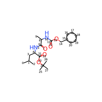 CC(C)CC(NC(=O)C(C)NC(=O)OCc1ccccc1)C(=O)OC(C)(C)C